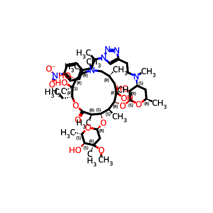 CC[C@H]1OC(=O)[C@H](C)[C@@H](O[C@H]2C[C@@](C)(OC)[C@@H](O)[C@H](C)O2)[C@H](C)[C@@H](O[C@@H]2O[C@H](C)C[C@H](N(C)CCc3cn(C(C)Cc4ccc([N+](=O)[O-])cc4)nn3)[C@H]2O)[C@](C)(O)C[C@@H](C)CN(C)[C@H](C)[C@@H](O)[C@]1(C)O